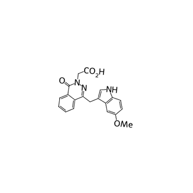 COc1ccc2[nH]cc(Cc3nn(CC(=O)O)c(=O)c4ccccc34)c2c1